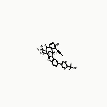 [2H]C([2H])([2H])N1C(=O)c2ccc(F)c(C#CC)c2[C@H]2C[C@@H]1c1nc3ccc(-c4cnc(C(C)(C)O)nc4)cc3n12